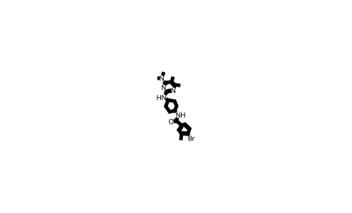 Cc1cc(C(=O)NC2CCC(Nc3nc(C)c(C)c(N(C)C)n3)CC2)ccc1Br